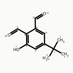 CC(C)(C)c1cc(O)c(C=O)c(C=O)c1